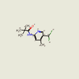 Cc1cc(NC(=O)C(C)(C)C)ncc1C(F)F